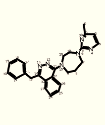 Cc1ccnc(N2CCCN(c3nnc(Cc4ccccc4)c4ccccc34)CC2)n1